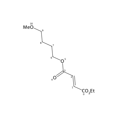 CCOC(=O)/C=C/C(=O)OCCCCOC